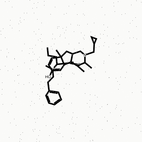 CCCC(C1COC2(C)C(C)N(CC3CC3)CC3CC4(C)C=CC(O)=CC4C312)N(C)CCc1ccccc1